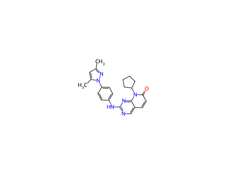 Cc1cc(C)n(-c2ccc(Nc3ncc4ccc(=O)n(C5CCCC5)c4n3)cc2)n1